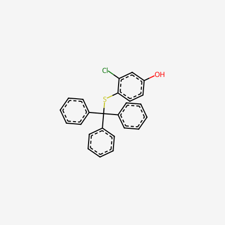 Oc1ccc(SC(c2ccccc2)(c2ccccc2)c2ccccc2)c(Cl)c1